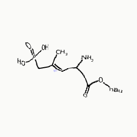 CCCCOC(=O)C(N)/C=C(\C)CP(=O)(O)O